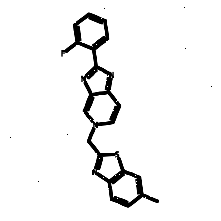 Cc1ccc2nc(Cn3ccc4nc(-c5ccccc5F)nc-4c3)sc2c1